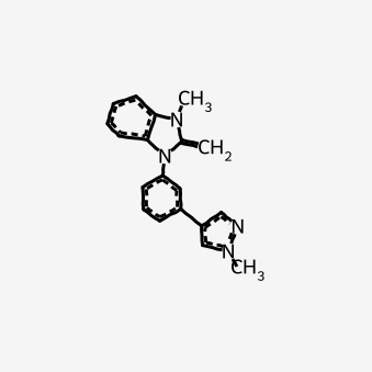 C=C1N(C)c2ccccc2N1c1cccc(-c2cnn(C)c2)c1